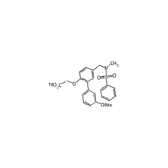 COc1cccc(-c2cc(CN(C)S(=O)(=O)c3ccccc3)ccc2OCC(=O)O)c1